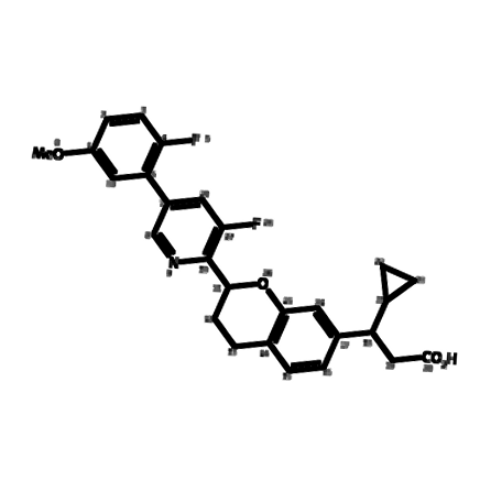 COc1ccc(F)c(-c2cnc(C3CCc4ccc(C(CC(=O)O)C5CC5)cc4O3)c(F)c2)c1